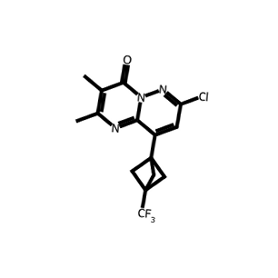 Cc1nc2c(C34CC(C(F)(F)F)(C3)C4)cc(Cl)nn2c(=O)c1C